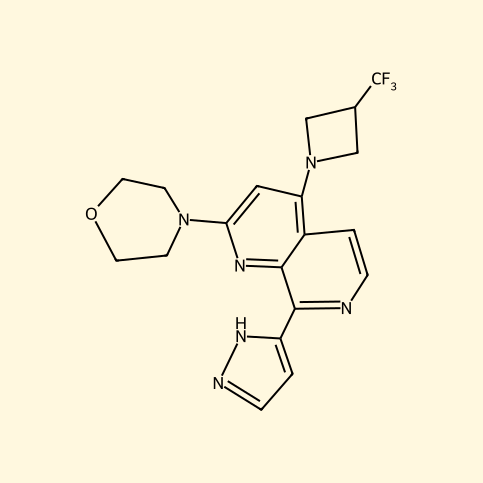 FC(F)(F)C1CN(c2cc(N3CCOCC3)nc3c(-c4ccn[nH]4)nccc23)C1